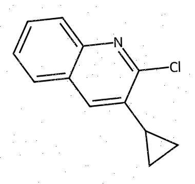 Clc1nc2ccccc2cc1C1CC1